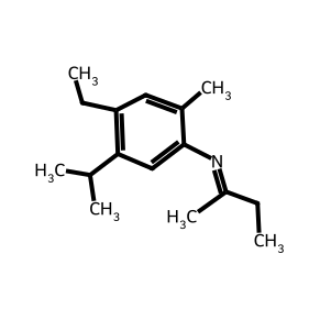 CC/C(C)=N/c1cc(C(C)C)c(CC)cc1C